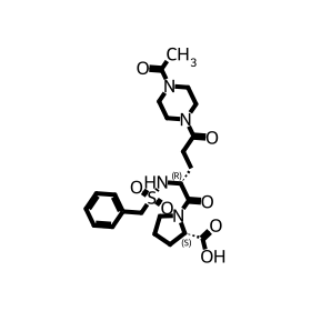 CC(=O)N1CCN(C(=O)CC[C@@H](NS(=O)(=O)Cc2ccccc2)C(=O)N2CCC[C@H]2C(=O)O)CC1